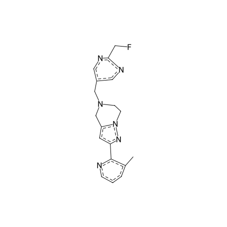 Cc1cccnc1-c1cc2n(n1)CCN(Cc1cnc(CF)nc1)C2